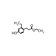 CCOC(=O)CCc1ccc(O)cc1CC